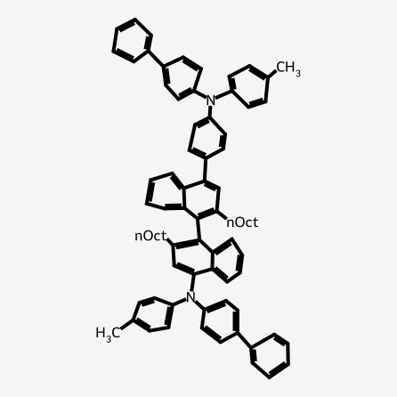 CCCCCCCCc1cc(-c2ccc(N(c3ccc(C)cc3)c3ccc(-c4ccccc4)cc3)cc2)c2ccccc2c1-c1c(CCCCCCCC)cc(N(c2ccc(C)cc2)c2ccc(-c3ccccc3)cc2)c2ccccc12